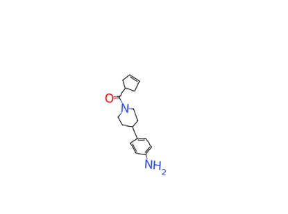 Nc1ccc(C2CCN(C(=O)C3CC=CC3)CC2)cc1